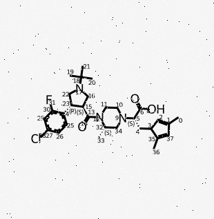 CC1=CC(C[C@@H](C(=O)O)N2CCN(C(=O)[C@@H]3CN(C(C)(C)C)C[C@H]3c3ccc(Cl)cc3F)[C@@H](C)C2)C(C)=C1